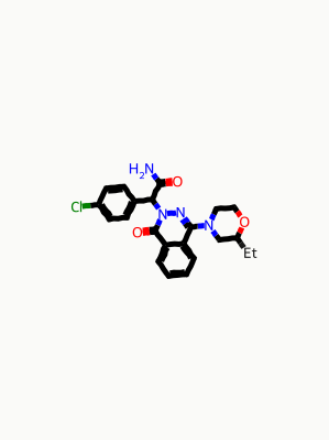 CCC1CN(c2nn(C(C(N)=O)c3ccc(Cl)cc3)c(=O)c3ccccc23)CCO1